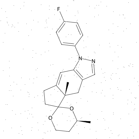 C[C@H]1CCOC2(CCC3=Cc4c(cnn4-c4ccc(F)cc4)C[C@@]32C)O1